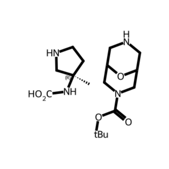 CC(C)(C)OC(=O)N1CC2CNCC(C1)O2.C[C@@]1(NC(=O)O)CCNC1